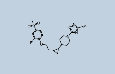 CC(C)c1noc(N2CCC([C@H]3C[C@@H]3CCOc3ccc(S(C)(=O)=O)cc3F)CC2)n1